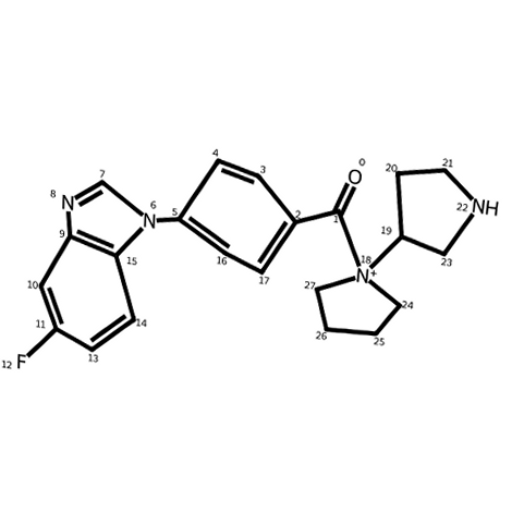 O=C(c1ccc(-n2cnc3cc(F)ccc32)cc1)[N+]1(C2CCNC2)CCCC1